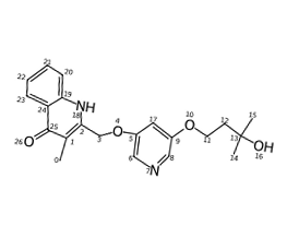 Cc1c(COc2cncc(OCCC(C)(C)O)c2)[nH]c2ccccc2c1=O